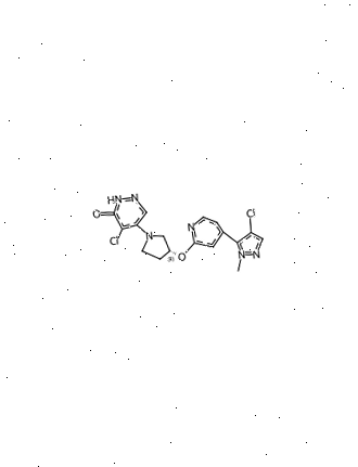 Cn1ncc(Cl)c1-c1ccnc(O[C@@H]2CCN(c3cn[nH]c(=O)c3Cl)C2)c1